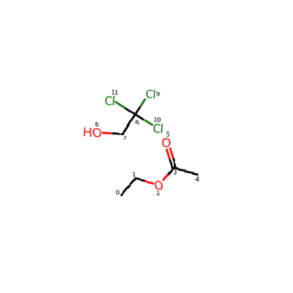 CCOC(C)=O.OCC(Cl)(Cl)Cl